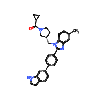 O=C(C1CC1)N1CC[C@H](Cn2c(-c3ccc(-c4ccc5cc[nH]c5c4)cc3)nc3cc(C(F)(F)F)ccc32)C1